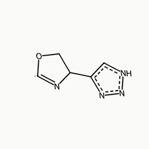 [C]1=NC(c2c[nH]nn2)CO1